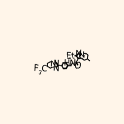 CCc1nn2c(c1C(=O)NCc1ccc(-c3nc4n(n3)CCC(C(F)(F)F)C4)cc1)CC(C)CC2